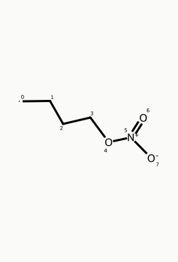 [CH2]CCCO[N+](=O)[O-]